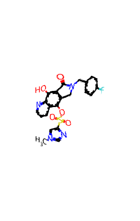 Cn1cnc(S(=O)(=O)Oc2c3c(c(O)c4ncccc24)C(=O)N(Cc2ccc(F)cc2)C3)c1